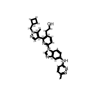 Cc1ccc(Nc2ccc3c(c2)ncn3-c2ccc(CCO)c(-c3cnn(CC4CCC4)c3C)n2)nn1